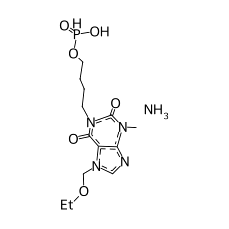 CCOCn1cnc2c1c(=O)n(CCCCO[PH](=O)O)c(=O)n2C.N